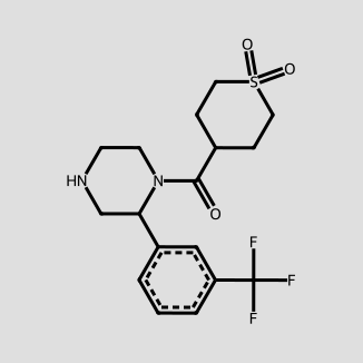 O=C(C1CCS(=O)(=O)CC1)N1CCNCC1c1cccc(C(F)(F)F)c1